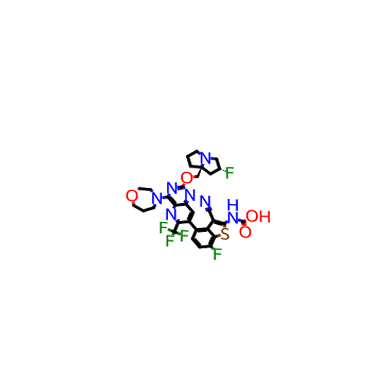 N#Cc1c(NC(=O)O)sc2c(F)ccc(-c3cc4nc(OC[C@@]56CCCN5C[C@H](F)C6)nc(N5CCCOCC5)c4nc3C(F)(F)F)c12